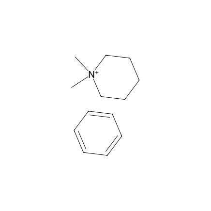 C[N+]1(C)CCCCC1.c1ccccc1